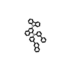 c1ccc(-c2cccc(N(c3cccc(-c4ccc5ccccc5c4)c3)c3cc(-n4c5ccccc5c5ccccc54)cc4ccccc34)c2)cc1